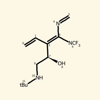 C=C/C(=C(\N=C)NC(F)(F)F)[C@@H](O)CNC(C)(C)C